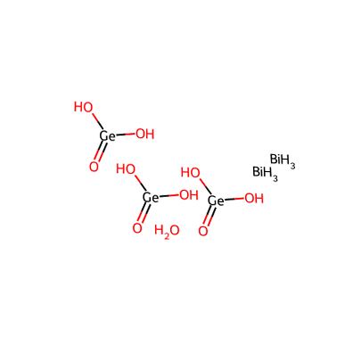 O.[BiH3].[BiH3].[O]=[Ge]([OH])[OH].[O]=[Ge]([OH])[OH].[O]=[Ge]([OH])[OH]